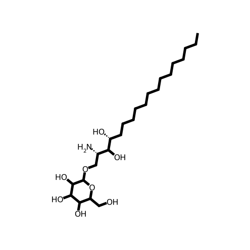 CCCCCCCCCCCCCC[C@@H](O)C(O)[C@@H](N)COC1OC(CO)C(O)C(O)C1O